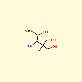 CCCCCCC(O)C(N)C(CC)(CO)CO